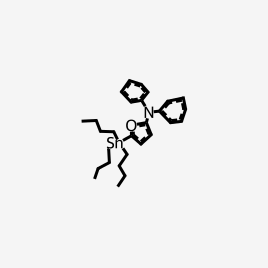 CCC[CH2][Sn]([CH2]CCC)([CH2]CCC)[c]1ccc(N(c2ccccc2)c2ccccc2)o1